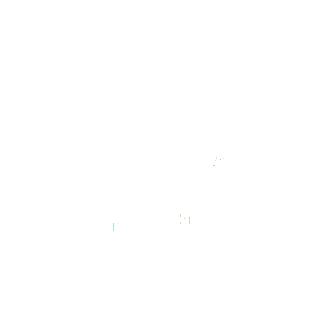 FC(Br)c1ccccc1Br